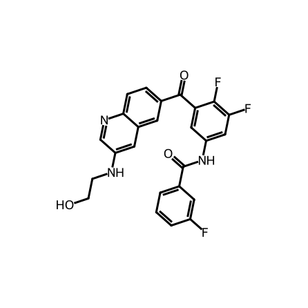 O=C(Nc1cc(F)c(F)c(C(=O)c2ccc3ncc(NCCO)cc3c2)c1)c1cccc(F)c1